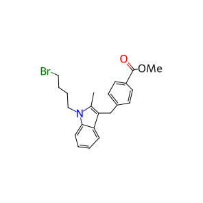 COC(=O)c1ccc(Cc2c(C)n(CCCCBr)c3ccccc23)cc1